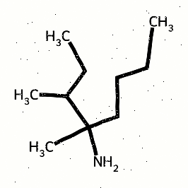 CCCCC(C)(N)C(C)CC